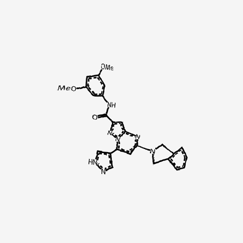 COc1cc(NC(=O)c2cc3nc(N4Cc5ccccc5C4)cc(-c4cn[nH]c4)n3n2)cc(OC)c1